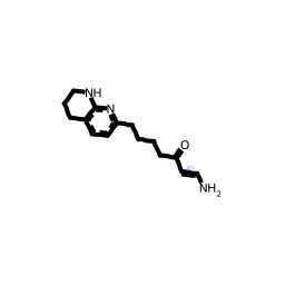 N/C=C/C(=O)CCCCc1ccc2c(n1)NCCC2